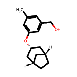 Cc1cc(CO)cc(O[C@@H]2C[C@@H]3CC[C@@H](C3)C2)c1